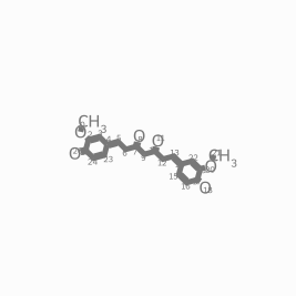 COC1=CC(=CCC(=O)CC(=O)CC=C2C=CC(=O)C(OC)=C2)C=CC1=O